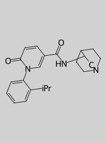 CC(C)c1ccccc1-n1cc(C(=O)NC2CN3CCC2CC3)ccc1=O